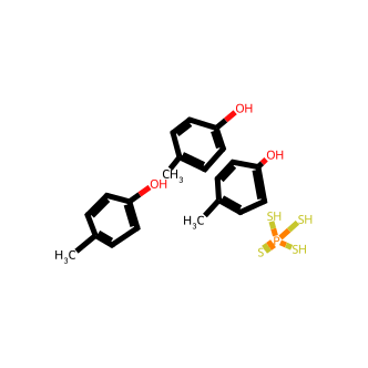 Cc1ccc(O)cc1.Cc1ccc(O)cc1.Cc1ccc(O)cc1.S=P(S)(S)S